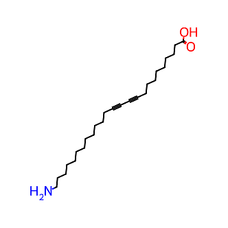 NCCCCCCCCCCCCC#CC#CCCCCCCCCC(=O)O